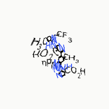 CCCn1nc(Nc2cnccc2C(=O)O)c2cc(C)c(-c3cncc(Nc4nn(CCC(F)(F)F)c5ccc(C)cc45)c3C(=O)O)cc21